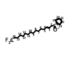 [O-][S+](CC=CCCCCCCCCCCCCC(F)(F)F)c1ccccc1